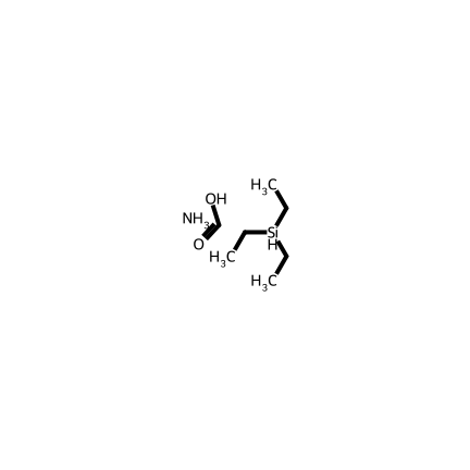 CC[SiH](CC)CC.N.O=CO